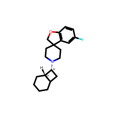 Fc1ccc2c(c1)C1(CCN([C@@H]3CC4CCCC[C@@H]43)CC1)CO2